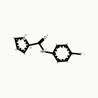 O=C(Nc1ccc(F)cc1)c1cccs1